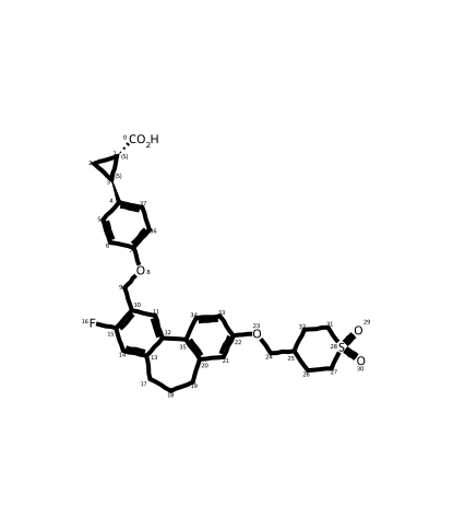 O=C(O)[C@H]1C[C@@H]1c1ccc(OCc2cc3c(cc2F)CCCc2cc(OCC4CCS(=O)(=O)CC4)ccc2-3)cc1